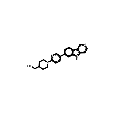 O=CCC1CCN(c2ccc(-c3ccc4c(c3)[nH]c3ccncc34)cn2)CC1